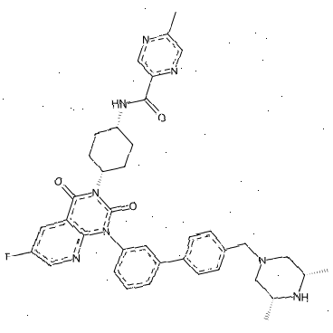 Cc1cnc(C(=O)N[C@H]2CC[C@@H](n3c(=O)c4cc(F)cnc4n(-c4cccc(-c5ccc(CN6C[C@@H](C)N[C@@H](C)C6)cc5)c4)c3=O)CC2)cn1